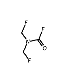 O=C(F)N(CF)CF